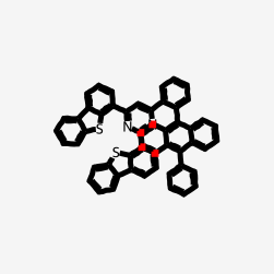 c1ccc(-c2c3ccccc3c(-c3ccccc3-c3cc(-c4cccc5c4sc4ccccc45)nc(-c4cccc5c4sc4ccccc45)n3)c3ccccc23)cc1